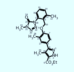 CCOC(=O)c1[nH]nc(-c2ccc(OCc3c(C)cccc3-n3nnn(C)c3=O)c(C)c2)c1C